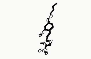 CCCCON=C1CC=C(C=Cc2ncc([N+](=O)[O-])n2C)C(=C=O)C1